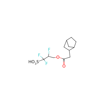 O=C(CC1CC2CCC1C2)OCC(F)C(F)(F)S(=O)(=O)O